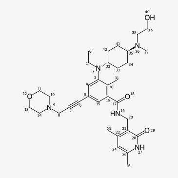 CCN(c1cc(C#CCN2CCOCC2)cc(C(=O)NCc2c(C)cc(C)[nH]c2=O)c1C)[C@H]1CC[C@H](N(C)CCO)CC1